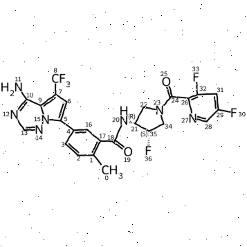 Cc1ccc(-c2cc(C(F)(F)F)c3c(N)ncnn23)cc1C(=O)N[C@@H]1CN(C(=O)c2ncc(F)cc2F)C[C@@H]1F